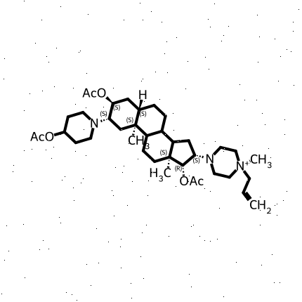 C=CC[N+]1(C)CCN([C@H]2CC3C4CC[C@H]5C[C@H](OC(C)=O)[C@@H](N6CCC(OC(C)=O)CC6)C[C@]5(C)C4CC[C@]3(C)[C@H]2OC(C)=O)CC1